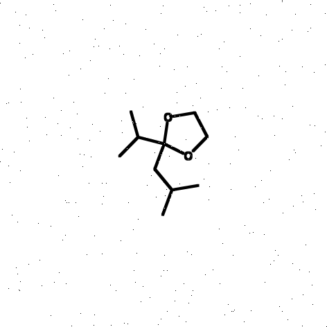 CC(C)CC1(C(C)C)OCCO1